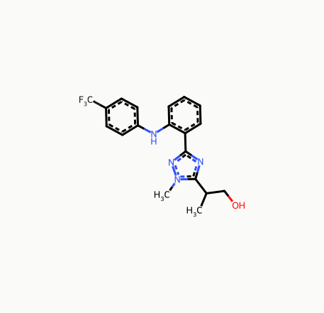 CC(CO)c1nc(-c2ccccc2Nc2ccc(C(F)(F)F)cc2)nn1C